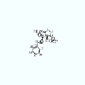 C[C@@H]1CCC(=O)[N+]1(C(=O)[O-])C(=O)OCc1ccccc1